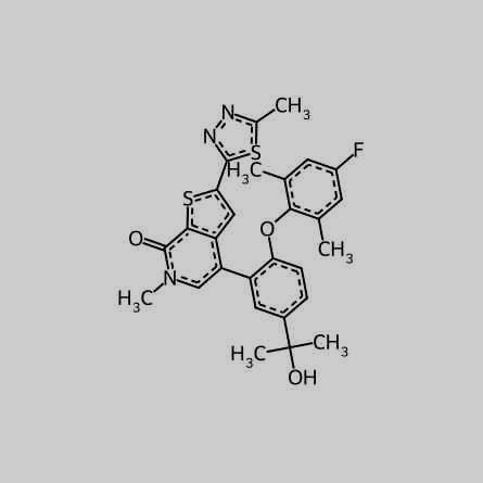 Cc1nnc(-c2cc3c(-c4cc(C(C)(C)O)ccc4Oc4c(C)cc(F)cc4C)cn(C)c(=O)c3s2)s1